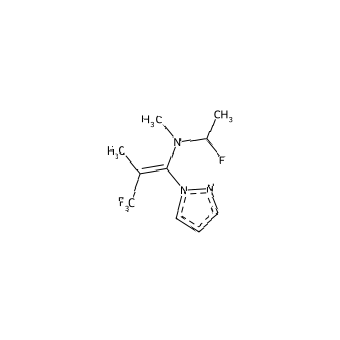 C/C(=C(\N(C)C(C)F)n1cccn1)C(F)(F)F